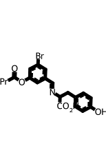 CC(C)C(=O)Oc1cc(Br)cc(C=NC(Cc2ccc(O)cc2)C(=O)O)c1